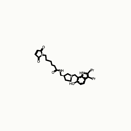 CC(C)c1[nH]c2c(CN3CC[C@@H](CNC(=O)CCCCCN4C(=O)C=CC4=O)C3)c(O)ccc2c1C(C)C